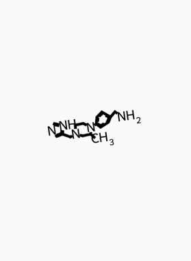 CC1CN(Cc2cnc[nH]2)CCN1c1ccc(CN)cc1